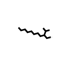 [CH2]CC(CCCCCCCC)C(C)C